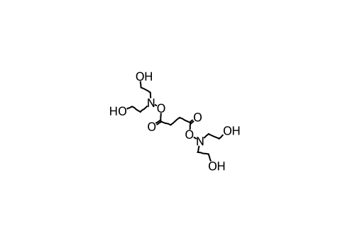 O=C(CCC(=O)ON(CCO)CCO)ON(CCO)CCO